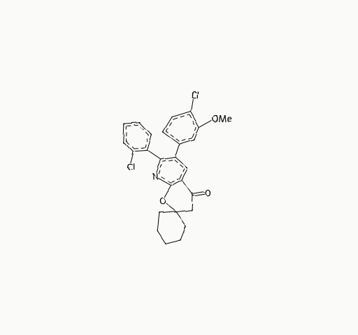 COc1cc(-c2cc3c(nc2-c2ccccc2Cl)OC2(CCCCC2)CC3=O)ccc1Cl